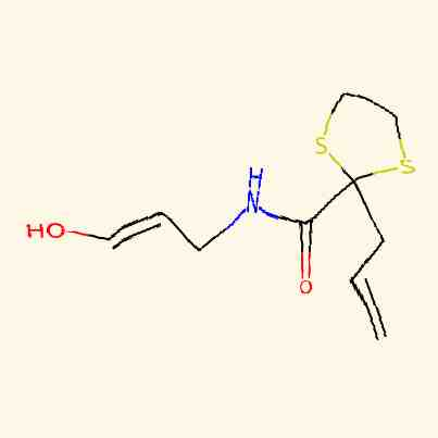 C=CCC1(C(=O)NCC=CO)SCCS1